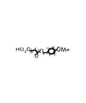 COc1ccc(COC(=O)CCC(=O)O)cc1